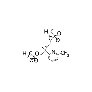 CS(=O)(=O)OCC1CC1(COS(C)(=O)=O)c1cccc(C(F)(F)F)n1